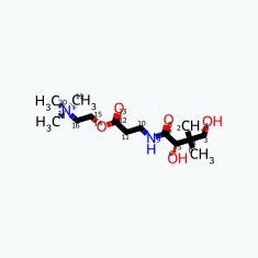 CC(C)(CO)[C@@H](O)C(=O)NCCC(=O)OCC[N+](C)(C)C